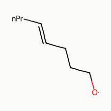 CCCC=CCCC[O]